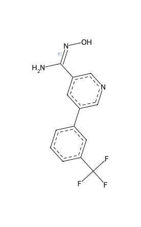 N/C(=N/O)c1cncc(-c2cccc(C(F)(F)F)c2)c1